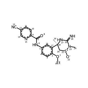 CCOc1ccc(NC(=O)c2ccc(C#N)cn2)cc1[C@]1(C)C[S+]([O-])N(C)C(=N)N1